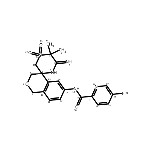 CC1(C)C(=N)N[C@@]2(COCc3ccc(NC(=O)c4ccc(F)cn4)cc32)CS1(=O)=O